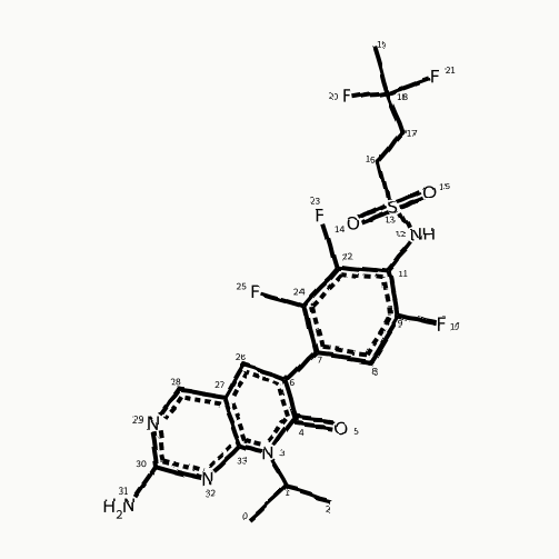 CC(C)n1c(=O)c(-c2cc(F)c(NS(=O)(=O)CCC(C)(F)F)c(F)c2F)cc2cnc(N)nc21